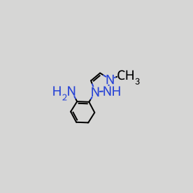 CN1C=CN(C2=C(N)C=CCC2)N1